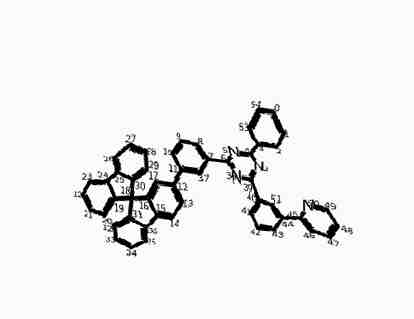 c1ccc(-c2nc(-c3cccc(-c4ccc5c(c4)C4(c6ccccc6-c6ccccc64)c4ccccc4-5)c3)nc(-c3cccc(-c4ccccn4)c3)n2)cc1